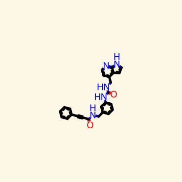 O=C(C#Cc1ccccc1)NCc1cccc(NC(=O)NCc2ccnc3[nH]ccc23)c1